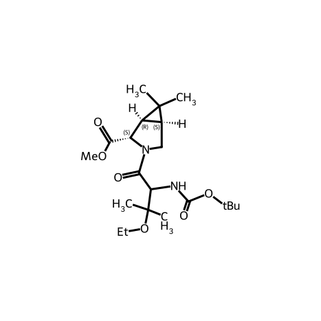 CCOC(C)(C)C(NC(=O)OC(C)(C)C)C(=O)N1C[C@H]2[C@@H]([C@H]1C(=O)OC)C2(C)C